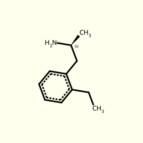 CCc1ccccc1C[C@H](C)N